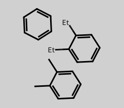 CCc1ccccc1CC.Cc1ccccc1C.c1ccccc1